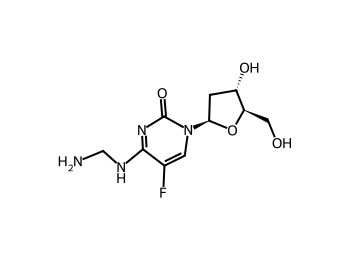 NCNc1nc(=O)n([C@H]2C[C@H](O)[C@@H](CO)O2)cc1F